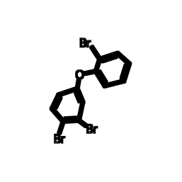 Brc1ccc(Oc2ccccc2Br)cc1Br